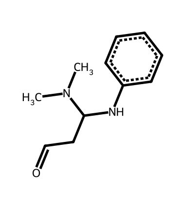 CN(C)C(CC=O)Nc1ccccc1